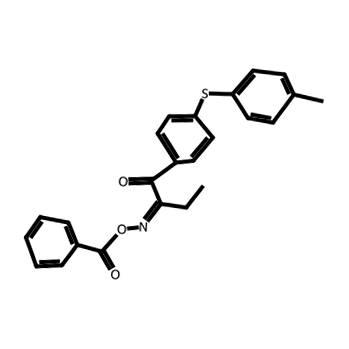 CCC(=NOC(=O)c1ccccc1)C(=O)c1ccc(Sc2ccc(C)cc2)cc1